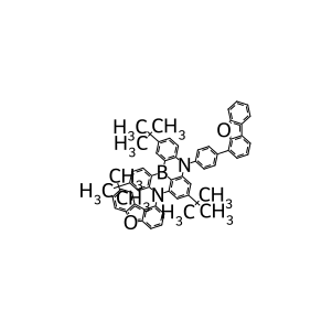 CC(C)(C)c1ccc2c(c1)B1c3ccc(C(C)(C)C)cc3N(c3cccc4oc5ccccc5c34)c3cc(C(C)(C)C)cc(c31)N2c1ccc(-c2cccc3c2oc2ccccc23)cc1